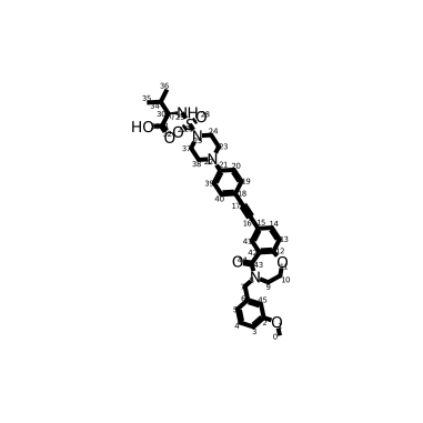 COc1cccc(CN2CCOc3ccc(C#Cc4ccc(N5CCN(S(=O)(=O)N[C@@H](C(=O)O)C(C)C)CC5)cc4)cc3C2=O)c1